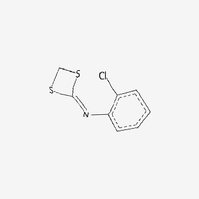 Clc1ccccc1N=C1SCS1